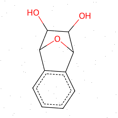 OC1C2OC(c3ccccc32)C1O